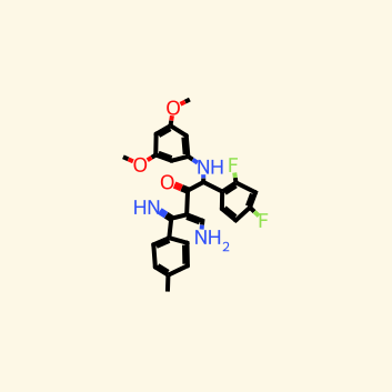 COc1cc(NC(C(=O)/C(=C/N)C(=N)c2ccc(C)cc2)c2ccc(F)cc2F)cc(OC)c1